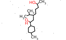 CC1CCC(C(O)CC(CCC[C@H](C)O)C(C)C)CC1